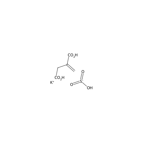 C=C(CC(=O)O)C(=O)O.O=[S-](=O)O.[K+]